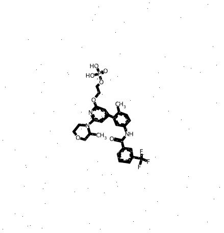 Cc1ccc(NC(=O)c2cccc(C(F)(F)F)c2)cc1-c1cc(OCCOP(=O)(O)O)nc(N2CCOCC2C)c1